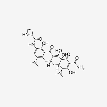 CN(C)c1cc(NC(=O)[C@@H]2CCN2)c(O)c2c1C[C@H]1C[C@H]3[C@H](N(C)C)C(O)=C(C(N)=O)C(=O)[C@@]3(O)C(O)=C1C2=O